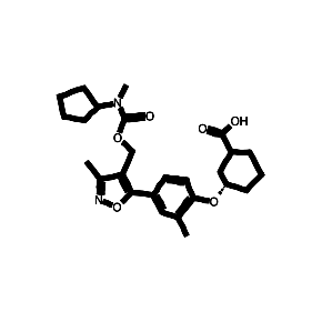 Cc1cc(-c2onc(C)c2COC(=O)N(C)C2CCCC2)ccc1O[C@H]1CCCC(C(=O)O)C1